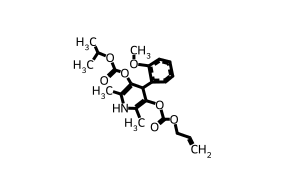 C=CCOC(=O)OC1=C(C)NC(C)=C(OC(=O)OC(C)C)C1c1ccccc1OC